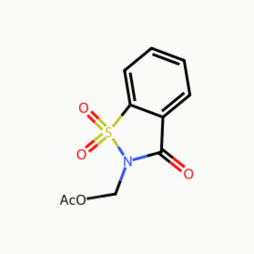 CC(=O)OCN1C(=O)c2ccccc2S1(=O)=O